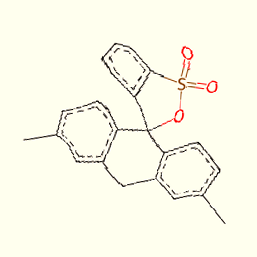 Cc1ccc2c(c1)Cc1cc(C)ccc1C21OS(=O)(=O)c2ccccc21